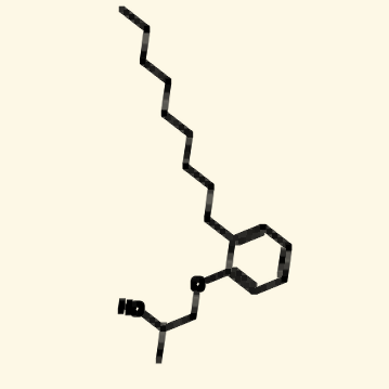 CCCCCCCCCc1ccccc1OC[C](C)O